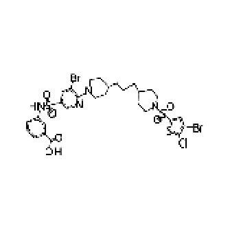 O=C(O)c1cccc(NS(=O)(=O)c2cnc(N3CCC(CCCC4CCN(S(=O)(=O)c5cc(Br)c(Cl)s5)CC4)CC3)c(Br)c2)c1